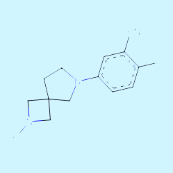 CN1CC2(CCN(c3ccc(C(F)(F)F)c(C#N)c3)C2)C1